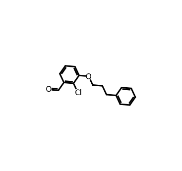 O=Cc1cccc(OCCCc2ccccc2)c1Cl